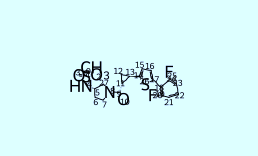 CS(=O)(=O)N[C@H]1CCN(C(=O)[C@@H]2C[C@H]2c2ccc(-c3c(F)cccc3F)s2)C1